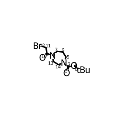 CC(C)(C)OC(=O)N1CCCN(C(=O)CBr)CC1